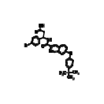 CC(C)(C)c1ccc(Oc2ccc3cc(C(=O)NC(CC(=O)O)c4ccc(Br)cc4)ncc3c2)cc1